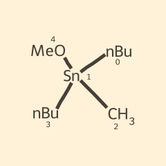 CCC[CH2][Sn]([CH3])([CH2]CCC)[O]C